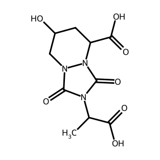 CC(C(=O)O)n1c(=O)n2n(c1=O)C(C(=O)O)CC(O)C2